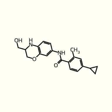 Cc1cc(C2CC2)ccc1C(=O)Nc1ccc2c(c1)OCC(CO)N2